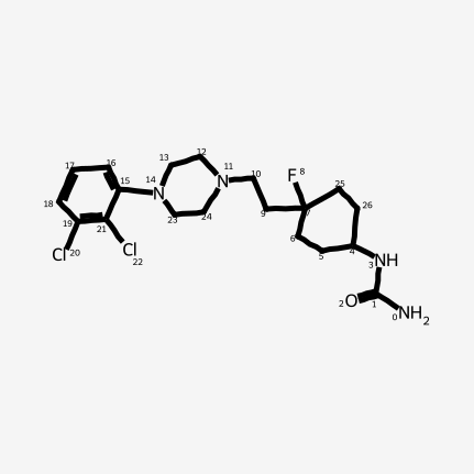 NC(=O)NC1CCC(F)(CCN2CCN(c3cccc(Cl)c3Cl)CC2)CC1